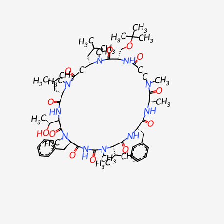 CC(C)C[C@H]1CC(=O)N(C)[C@@H](CC(C)C)C(=O)NC([C@@H](C)O)C(=O)N(C)[C@H](Cc2ccccc2)C(=O)NC(=O)N(C)[C@@H](C(C)C)C(=O)N[C@@H](Cc2ccccc2)C(=O)N[C@H](C)C(=O)N(C)CCC(=O)N[C@@H](COC(C)(C)C)C(=O)N1C